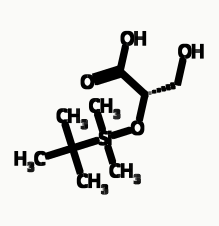 CC(C)(C)[Si](C)(C)O[C@@H](CO)C(=O)O